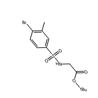 Cc1cc(S(=O)(=O)NCC(=O)OC(C)(C)C)ccc1Br